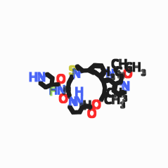 CCn1c(-c2cccnc2[C@H](C)OC)c2c3cc(ccc31)-c1csc(n1)C[C@H](NC(=O)C1(F)CCNCC1)C(=O)N1CCC[C@H](N1)C(=O)OCC(C)(C)C2